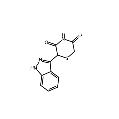 O=C1CSC(c2n[nH]c3ccccc23)C(=O)N1